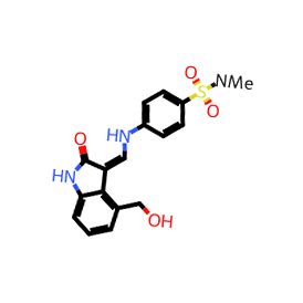 CNS(=O)(=O)c1ccc(NC=C2C(=O)Nc3cccc(CO)c32)cc1